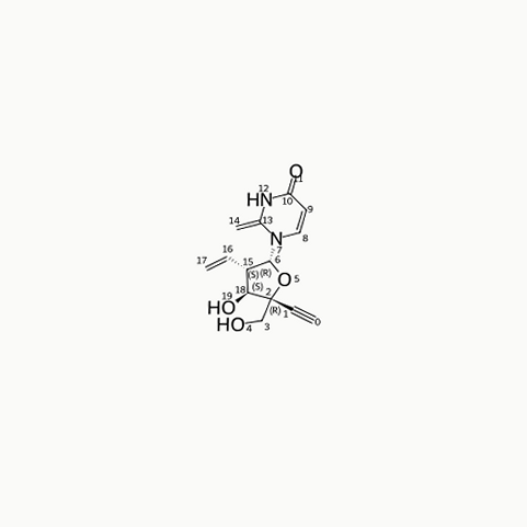 C#C[C@]1(CO)O[C@@H](N2C=CC(=O)NC2=C)[C@@H](C=C)[C@@H]1O